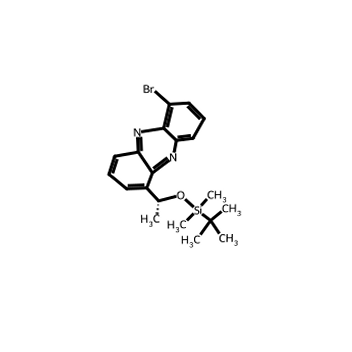 C[C@@H](O[Si](C)(C)C(C)(C)C)c1cccc2nc3c(Br)cccc3nc12